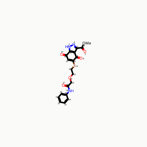 COC(=O)c1n[nH]c2c1C(=O)C(SCCOCC(=O)Nc1ccccc1)=CC2=O